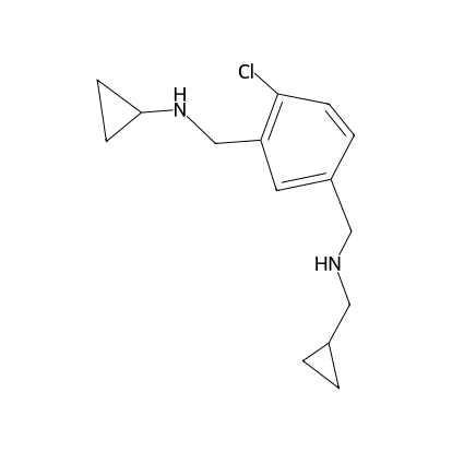 Clc1ccc(CNCC2CC2)cc1CNC1CC1